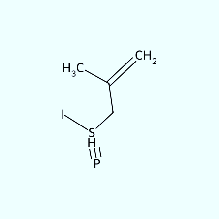 C=C(C)C[SH](#P)I